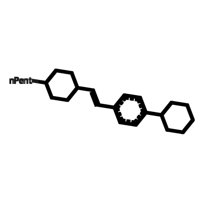 CCCCCC1CCC(/C=C/c2ccc(C3CCCCC3)cc2)CC1